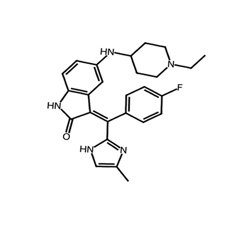 CCN1CCC(Nc2ccc3c(c2)/C(=C(\c2ccc(F)cc2)c2nc(C)c[nH]2)C(=O)N3)CC1